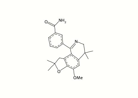 COc1cc2c(c3c1OC(C)(C)C3)C(c1cccc(C(N)=O)c1)=NCC2(C)C